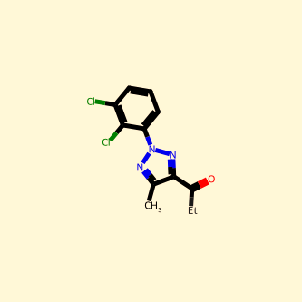 CCC(=O)c1nn(-c2cccc(Cl)c2Cl)nc1C